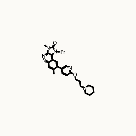 Cc1cc2nnc3c(c2cc1-c1ccc(OCCCN2CCCCC2)nc1)n(C(C)C)c(=O)n3C